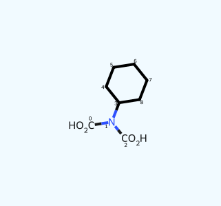 O=C(O)N(C(=O)O)C1CCCCC1